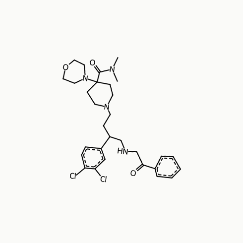 CN(C)C(=O)C1(N2CCOCC2)CCN(CCC(CNCC(=O)c2ccccc2)c2ccc(Cl)c(Cl)c2)CC1